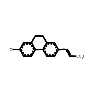 O=C(O)C=Cc1ccc2c(c1)CCc1cc(Cl)ccc1-2